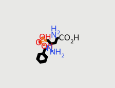 NC(CC(CP(=O)(O)O)N(N)Cc1ccccc1)C(=O)O